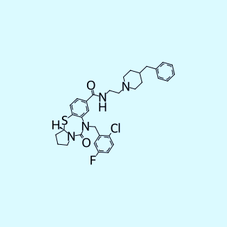 O=C(NCCN1CCC(Cc2ccccc2)CC1)c1ccc2c(c1)N(Cc1cc(F)ccc1Cl)C(=O)N1CCC[C@@H]1S2